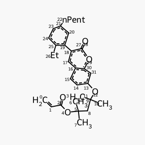 C=CC(=O)OC(C)(C)CC(C)(C)Oc1ccc2cc(-c3cc(CCCCC)ccc3CC)c(=O)oc2c1